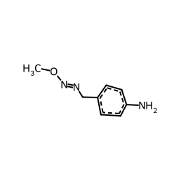 CON=NCc1ccc(N)cc1